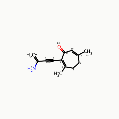 C=C(N)C#CC1=C(C)CCC(C)=CC1=O